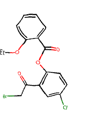 CCOc1ccccc1C(=O)Oc1ccc(Cl)cc1C(=O)CBr